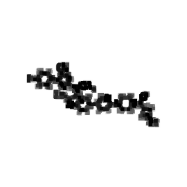 CCc1nc2ccc(-c3ccc(N4CCN(C(=O)C5CN(CC)C5)CC4)nc3)cn2c1N(C)c1nc(-c2ccc(F)cc2)c(C#N)s1